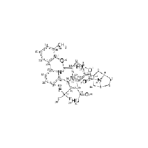 COC(=O)N1C2CCC1CC(c1ccc(COc3c(C)cccc3-c3cccc(-n4ncc(C(=O)O)c4C(F)(F)F)n3)cc1)C2